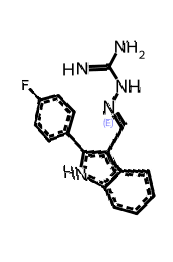 N=C(N)N/N=C/c1c(-c2ccc(F)cc2)[nH]c2ccccc12